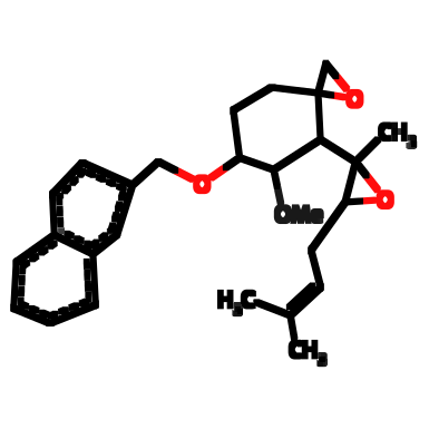 COC1C(OCc2ccc3ccccc3c2)CCC2(CO2)C1C1(C)OC1CC=C(C)C